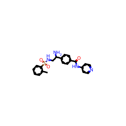 Cc1ccccc1S(=O)(=O)NCC(N)c1ccc(C(=O)Nc2ccncc2)cc1